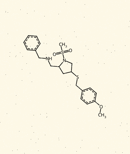 COc1ccc(CSC2CC(CNCc3ccccc3)N(S(C)(=O)=O)C2)cc1